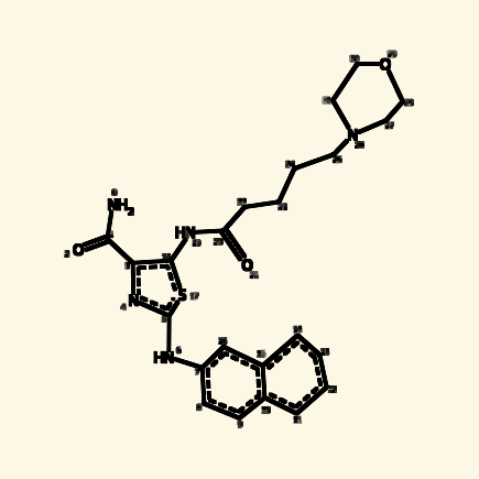 NC(=O)c1nc(Nc2ccc3ccccc3c2)sc1NC(=O)CCCCN1CCOCC1